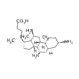 C[C@H](CCC(=O)O)[C@H]1CC[C@H]2[C@@H]3[C@H](N)C[C@@H]4C[C@H](N)CC[C@]4(C)[C@H]3C[C@H](N)[C@]12C